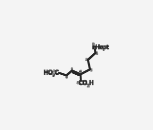 CCCCCCCCCCC(=CCC(=O)O)C(=O)O